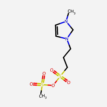 CN1C=CN(CCCS(=O)(=O)OS(C)(=O)=O)C1